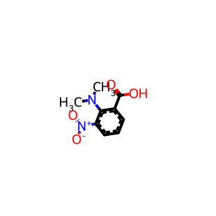 CN(C)c1c(C(=O)O)cccc1[N+](=O)[O-]